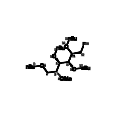 CCCCOC[C@@H](OC)[C@@H](OCCCC)[C@H](OCCCC)[C@H](CF)OCCCC